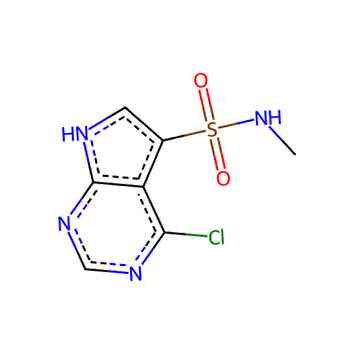 CNS(=O)(=O)c1c[nH]c2ncnc(Cl)c12